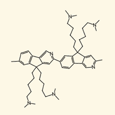 Cc1ccc2c(c1)C(CCCCCN(C)C)(CCCCCN(C)C)c1cc(-c3ccc4c(c3)C(CCCCCN(C)C)(CCCCCN(C)C)c3cc(C)ncc3-4)ncc1-2